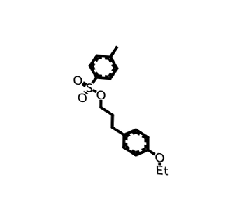 [CH2]COc1ccc(CCCOS(=O)(=O)c2ccc(C)cc2)cc1